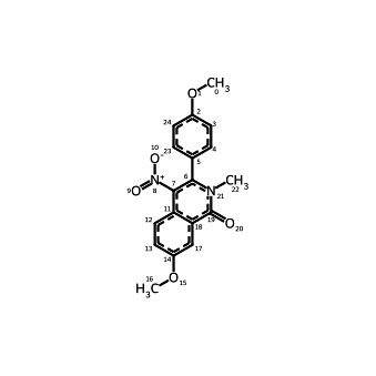 COc1ccc(-c2c([N+](=O)[O-])c3ccc(OC)cc3c(=O)n2C)cc1